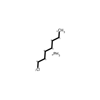 CCCCCCCCl.P